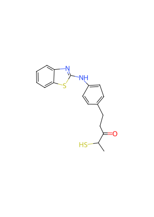 CC(S)C(=O)CCc1ccc(Nc2nc3ccccc3s2)cc1